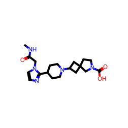 CNC(=O)Cn1ccnc1C1CCN(C2CC3(CCN(C(=O)O)C3)C2)CC1